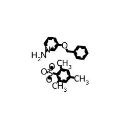 Cc1cc(C)c(S(=O)(=O)[O-])c(C)c1.N[n+]1cccc(OCc2ccccc2)c1